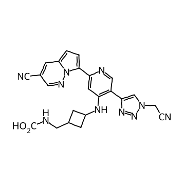 N#CCn1cc(-c2cnc(-c3ccc4cc(C#N)cnn34)cc2NC2CC(CNC(=O)O)C2)nn1